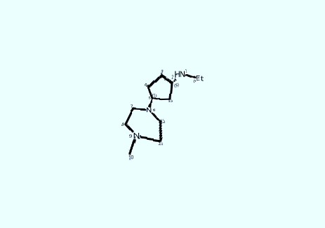 CCN[C@H]1CC[C@H](N2CCN(C)CC2)C1